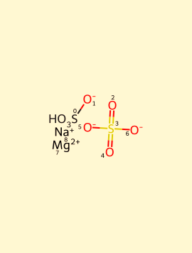 O=S(=O)([O-])O.O=S(=O)([O-])[O-].[Mg+2].[Na+]